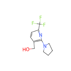 OCc1ccc(C(F)(F)F)nc1N1CCCC1